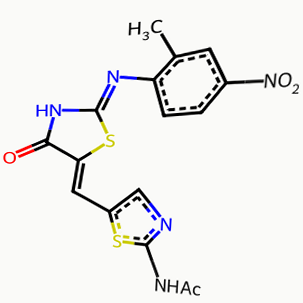 CC(=O)Nc1ncc(/C=C2\S/C(=N\c3ccc([N+](=O)[O-])cc3C)NC2=O)s1